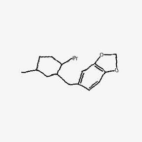 CC1CCC(C(C)C)C(Cc2ccc3c(c2)OCO3)C1